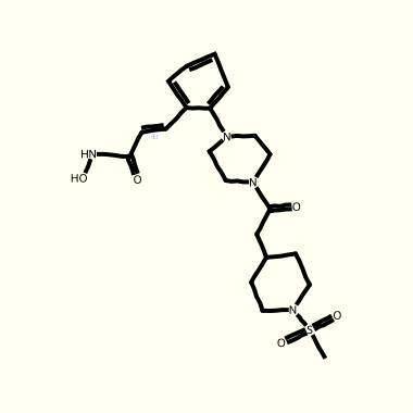 CS(=O)(=O)N1CCC(CC(=O)N2CCN(c3ccccc3/C=C/C(=O)NO)CC2)CC1